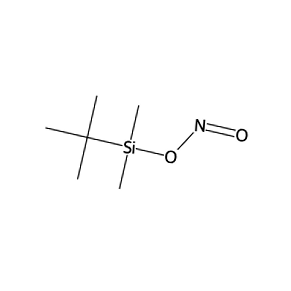 CC(C)(C)[Si](C)(C)ON=O